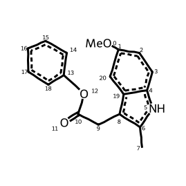 COc1ccc2[nH]c(C)c(CC(=O)Oc3ccccc3)c2c1